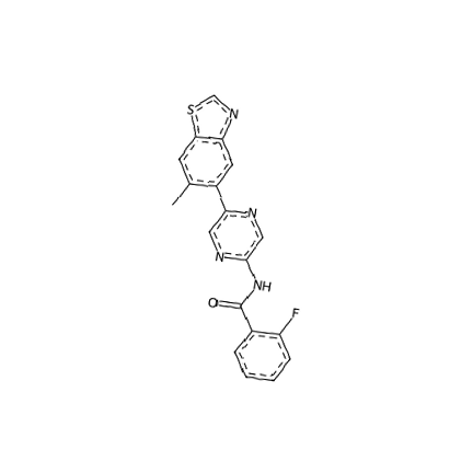 Cc1cc2scnc2cc1-c1cnc(NC(=O)c2ccccc2F)cn1